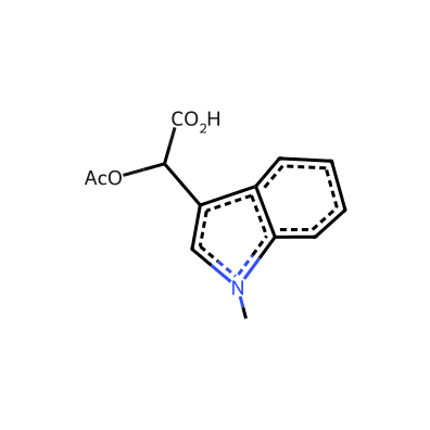 CC(=O)OC(C(=O)O)c1cn(C)c2ccccc12